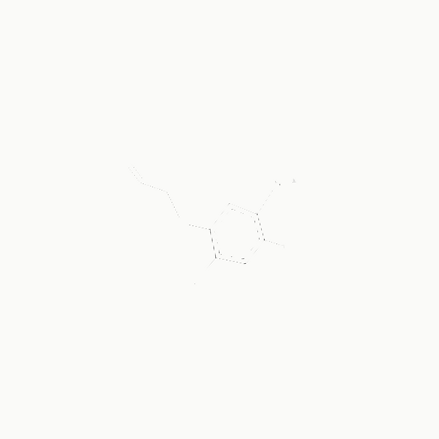 C=CCOc1cc(NC(C)=O)c(Cl)cc1C(=O)O